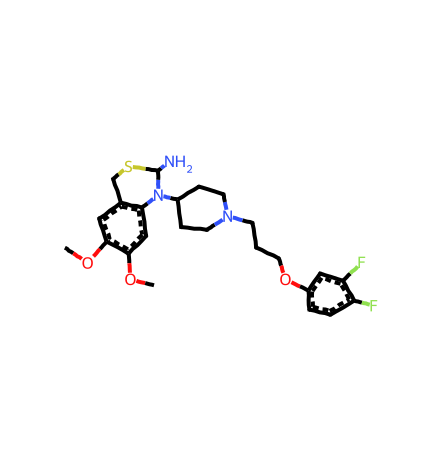 COc1cc2c(cc1OC)N(C1CCN(CCCOc3ccc(F)c(F)c3)CC1)C(N)SC2